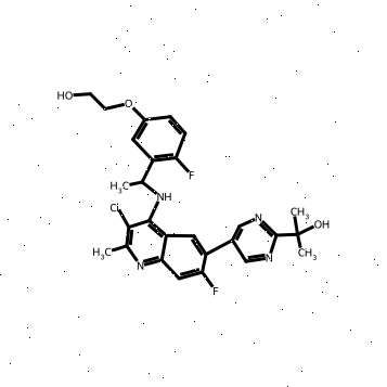 Cc1nc2cc(F)c(-c3cnc(C(C)(C)O)nc3)cc2c(NC(C)c2cc(OCCO)ccc2F)c1Cl